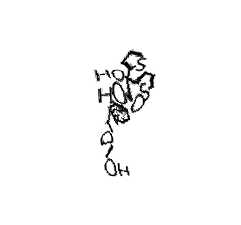 O=C(O[C@H]1C[N+]2(CCOCCO)CCC1CC2)C(O)(c1cccs1)c1cccs1